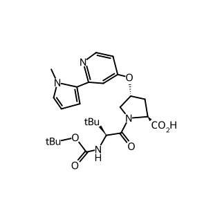 Cn1cccc1-c1cc(O[C@@H]2C[C@@H](C(=O)O)N(C(=O)[C@@H](NC(=O)OC(C)(C)C)C(C)(C)C)C2)ccn1